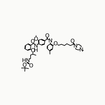 COc1cc(C(=O)N(C)c2ccc(C)cc2OCCCCCC(=O)N2CCN(C)CC2)ccc1NC(=O)c1ccccc1OC(C)CCNC(=O)OC(C)(C)C